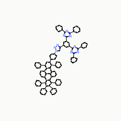 c1ccc(-c2nc(-c3ccccc3)nc(-c3cc(-c4cn(-c5ccc(-c6cc(-c7ccccc7)c7c8cccc9c%10c(-c%11ccccc%11)c(-c%11ccccc%11)c(-c%11ccccc%11)c(-c%11ccccc%11)c%10c%10cccc(c7c6-c6ccccc6)c%10c89)cc5)nn4)cc(-c4nc(-c5ccccc5)nc(-c5ccccc5)n4)c3)n2)cc1